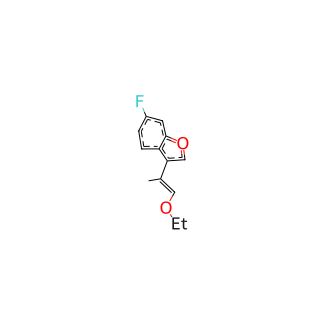 CCO/C=C(\C)c1coc2cc(F)ccc12